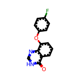 O=c1[nH]cnc2c(Oc3ccc(F)cc3)cccc12